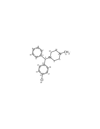 [CH2]N1CCN(C(c2ccccc2)c2ccc(Cl)cc2)CC1